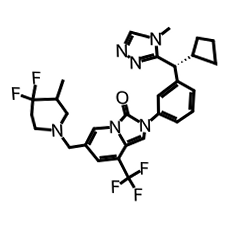 CC1CN(Cc2cc(C(F)(F)F)c3cn(-c4cccc([C@H](c5nncn5C)C5CCC5)c4)c(=O)n3c2)CCC1(F)F